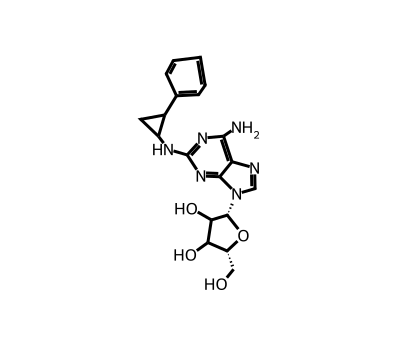 Nc1nc(NC2CC2c2ccccc2)nc2c1ncn2[C@@H]1O[C@H](CO)C(O)C1O